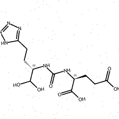 O=C(O)CC[C@H](NC(=O)N[C@@H](CCc1nnn[nH]1)C(O)O)C(=O)O